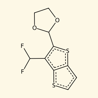 FC(F)c1c(C2OCCO2)sc2ccsc12